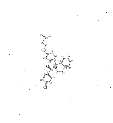 CN(C)CCOc1ccc(-c2c(C(=O)c3ccc(Cl)cc3)ccc3ccccc23)cc1